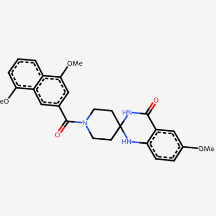 COc1ccc2c(c1)C(=O)NC1(CCN(C(=O)c3cc(OC)c4cccc(OC)c4c3)CC1)N2